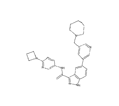 C=C(Nc1ccc(N2CCC2)nc1)c1n[nH]c2ccc(-c3cncc(CN4CCCCC4)c3)cc12